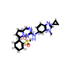 C1CC1.Cn1cnc2ccc(Nc3ncc4ccc(-c5ccccc5S(C)(=O)=O)n4n3)cc21